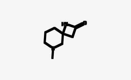 CN1CCCC2(CC(=O)N2)C1